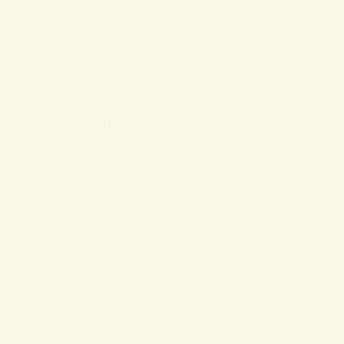 c1ccc(-c2ccc(Pc3ccc(-c4ccccc4)cc3)cc2)cc1